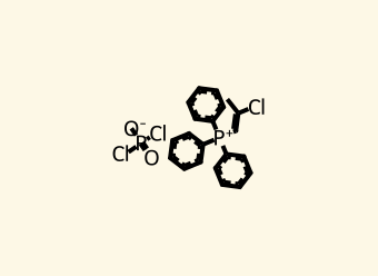 CC(Cl)=C[P+](c1ccccc1)(c1ccccc1)c1ccccc1.O=P([O-])(Cl)Cl